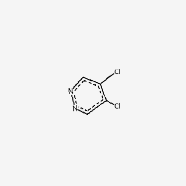 Clc1cnncc1Cl